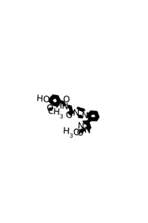 COc1ncc(-c2ccccc2N2CCN(C(=O)CNC(=O)c3ccc(O)c(OC)c3)CC2)cn1